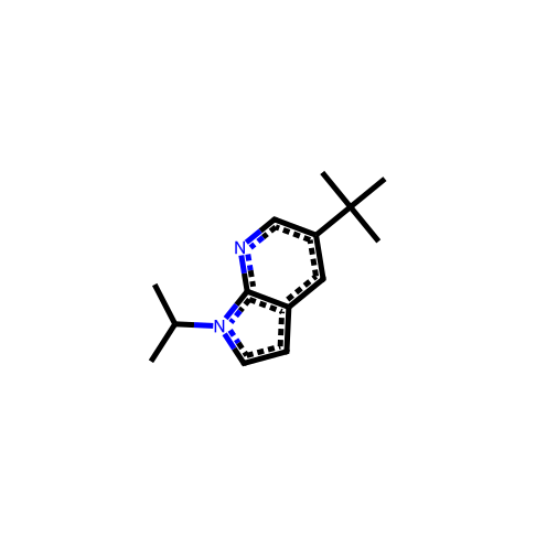 CC(C)n1ccc2cc(C(C)(C)C)cnc21